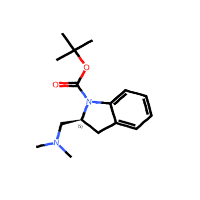 CN(C)C[C@@H]1Cc2ccccc2N1C(=O)OC(C)(C)C